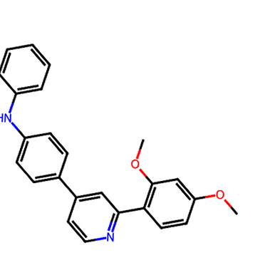 COc1ccc(-c2cc(-c3ccc(Nc4ccccc4)cc3)ccn2)c(OC)c1